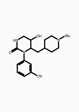 CC(C)(C)N1CCC(CC2C(O)CNC(=O)N2c2cccc(C#N)c2)CC1